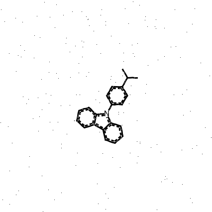 CC(C)c1ccc(-n2c3cc[c]cc3c3ccccc32)cc1